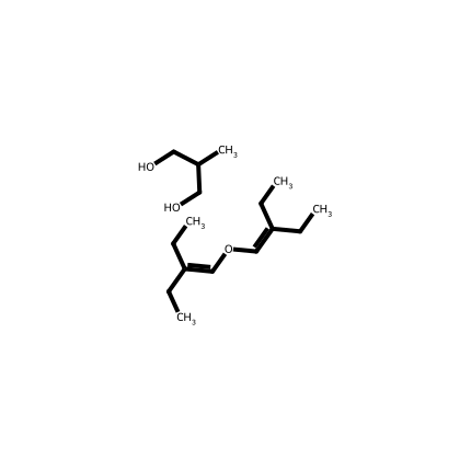 CC(CO)CO.CCC(=COC=C(CC)CC)CC